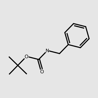 CC(C)(C)OC(=O)[N]Cc1ccccc1